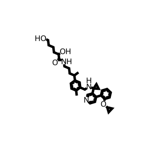 Cc1ccc(C(C)CCCNC(=O)C(O)CCCCO)cc1CNC1(c2cnccc2-c2ccccc2OC2CC2)CC1